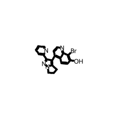 Oc1ccc2c(-c3c(-c4ccccn4)nn4c3CCC4)ccnc2c1Br